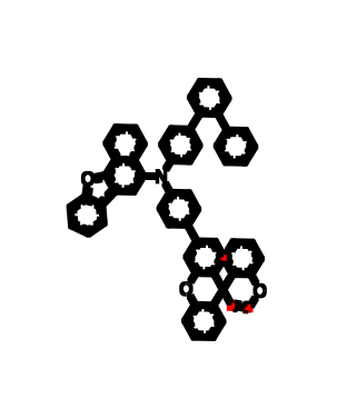 c1ccc(-c2ccccc2-c2ccc(N(c3ccc(-c4ccc5c(c4)Oc4ccccc4C54c5ccccc5Oc5ccccc54)cc3)c3cc4c5ccccc5oc4c4ccccc34)cc2)cc1